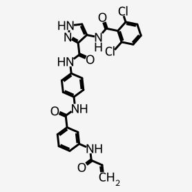 C=CC(=O)Nc1cccc(C(=O)Nc2ccc(NC(=O)c3n[nH]cc3NC(=O)c3c(Cl)cccc3Cl)cc2)c1